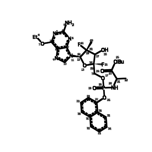 CCOc1nc(N)nc2c1ncn2[C@@H]1O[C@](F)(COP(=O)(NC(C)C(=O)OCC(C)C)Oc2cccc3ccccc23)C(O)[C@@]1(C)F